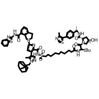 Cc1ncsc1-c1ccc([C@H](C)NC(=O)[C@@H]2C[C@@H](O)CN2C(=O)C(NC(=O)CCCCCCCCCS(=O)(=O)NC(=O)c2nc(N3CCc4cccc(C(=O)Nc5nc6ccccc6s5)c4C3)ccc2-c2cnn(CC34CC5CC(CC(C5)C3)C4)c2C)C(C)(C)C)cc1